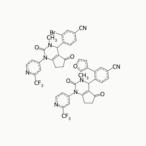 CN1C(=O)N(c2ccnc(C(F)(F)F)c2)C2=C(C(=O)CC2)C1c1ccc(C#N)cc1-c1ccoc1.CN1C(=O)N(c2ccnc(C(F)(F)F)c2)C2=C(C(=O)CC2)C1c1ccc(C#N)cc1Br